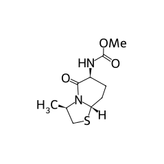 COC(=O)N[C@H]1CC[C@@H]2SC[C@@H](C)N2C1=O